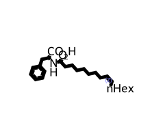 CCCCCC/C=C\CCCCCCCC(=O)NC(Cc1ccccc1)C(=O)O